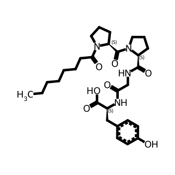 CCCCCCCC(=O)N1CCC[C@H]1C(=O)N1CCC[C@H]1C(=O)NCC(=O)N[C@@H](Cc1ccc(O)cc1)C(=O)O